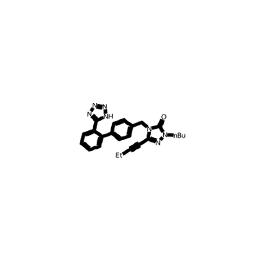 CCC#Cc1nn(CCCC)c(=O)n1Cc1ccc(-c2ccccc2-c2nnn[nH]2)cc1